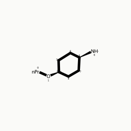 CCCO[C@H]1CC[C@@H]([NH])CC1